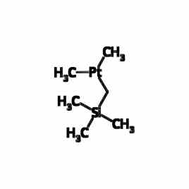 [CH3][Pt]([CH3])[CH2][Si](C)(C)C